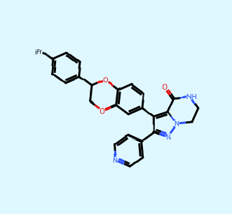 CC(C)c1ccc(C2COc3cc(-c4c(-c5ccncc5)nn5c4C(=O)NCC5)ccc3O2)cc1